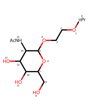 CCCOCCOC1OC(CO)C(O)C(O)C1NC(C)=O